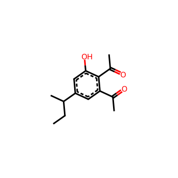 CCC(C)c1cc(O)c(C(C)=O)c(C(C)=O)c1